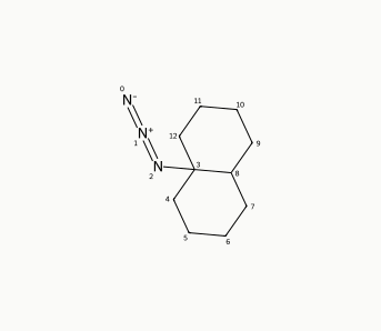 [N-]=[N+]=NC12CCCCC1CCCC2